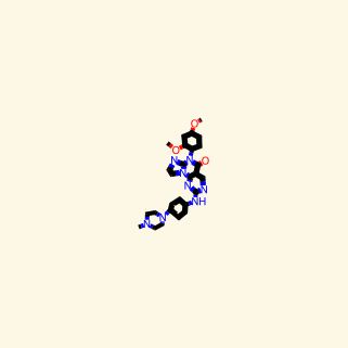 COc1ccc(-n2c(=O)c3cnc(Nc4ccc(N5CCN(C)CC5)cc4)nc3n3ccnc23)c(OC)c1